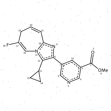 COC(=O)c1cncc(-c2nc3n(c2C2CC2)C=C(F)CC=C3)c1